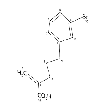 C=C(CCCc1cccc(Br)c1)C(=O)O